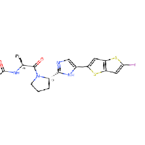 COC(=O)N[C@H](C(=O)N1CCC[C@H]1c1ncc(-c2cc3sc(I)cc3s2)[nH]1)C(C)C